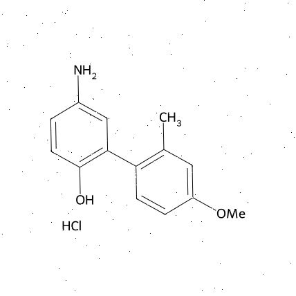 COc1ccc(-c2cc(N)ccc2O)c(C)c1.Cl